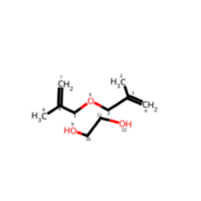 C=C(C)COCC(=C)C.OCCO